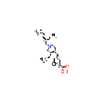 C=C/C=C(\C=C)CN1CCC(/C=C(\C=C)CCC(=O)O)=C(C=C)C1